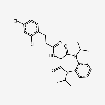 CC(C)N1C(=O)C(NC(=O)CCc2ccc(Cl)cc2Cl)C(=O)N(C(C)C)c2ccccc21